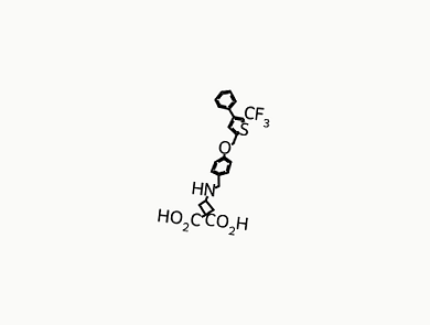 O=C(O)C1(C(=O)O)CC(NCc2ccc(OCc3cc(-c4ccccc4)c(C(F)(F)F)s3)cc2)C1